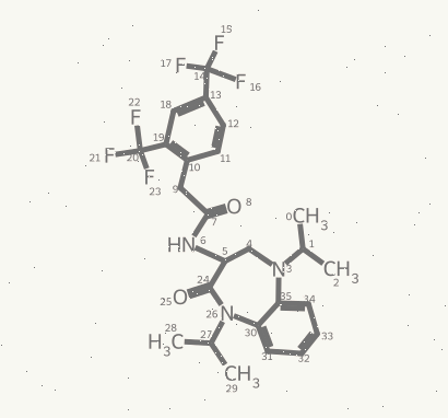 CC(C)N1CC(NC(=O)Cc2ccc(C(F)(F)F)cc2C(F)(F)F)C(=O)N(C(C)C)c2ccccc21